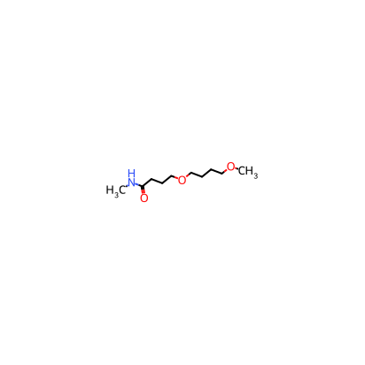 CNC(=O)CCCOCCCCOC